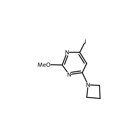 COc1nc(I)cc(N2CCC2)n1